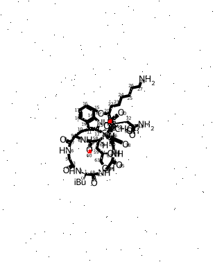 CC[C@H](C)[C@@H]1NC(=O)CNC(=O)C2Cc3c4[nH]c5cc(ccc35)OC(CCCCCCN)(C(=O)[C@H](CC(N)=O)NC(=O)C(C[S+]4[O-])NC(=O)CNC1=O)N1C[C@H](O)C[C@]1(C=O)N[C@@H]([C@@H](C)[C@@H](O)CO)C(=O)N2